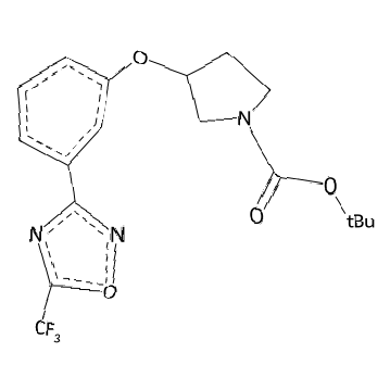 CC(C)(C)OC(=O)N1CCC(Oc2cccc(-c3noc(C(F)(F)F)n3)c2)C1